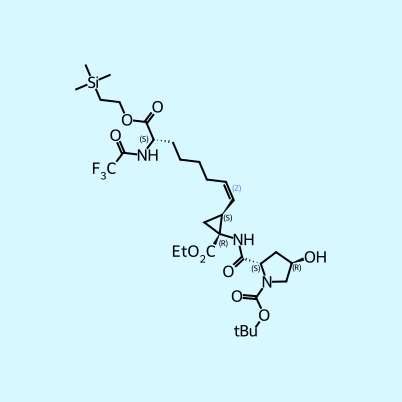 CCOC(=O)[C@@]1(NC(=O)[C@@H]2C[C@@H](O)CN2C(=O)OC(C)(C)C)C[C@H]1/C=C\CCCC[C@H](NC(=O)C(F)(F)F)C(=O)OCC[Si](C)(C)C